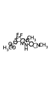 CSc1cc2c(cc1Nc1ncc(C(F)(F)F)c(-c3cc(S(C)(=O)=O)cs3)n1)CCN(C)C2